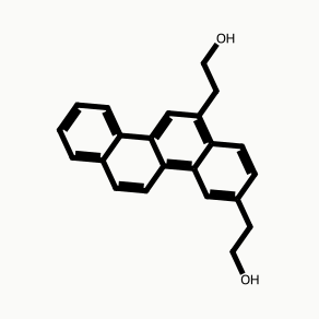 OCCc1ccc2c(CCO)cc3c4ccccc4ccc3c2c1